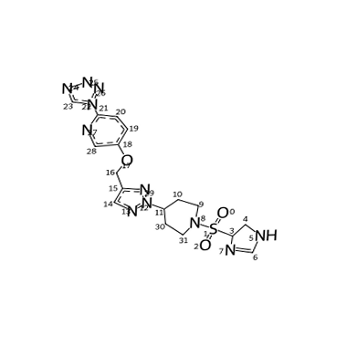 O=S(=O)(C1CNC=N1)N1CCC(n2ncc(COc3ccc(-n4cnnn4)nc3)n2)CC1